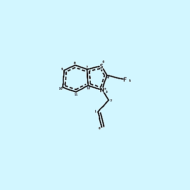 C=CC[n+]1c(F)sc2ccccc21